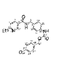 CCc1ccc(C(=O)NCc2ccc(NC(=O)OCc3ccc(Cl)cc3)cc2)cn1